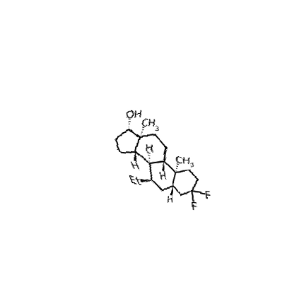 CC[C@@H]1C[C@H]2CC(F)(F)CC[C@]2(C)[C@H]2CC[C@]3(C)[C@@H](O)CC[C@H]3[C@H]12